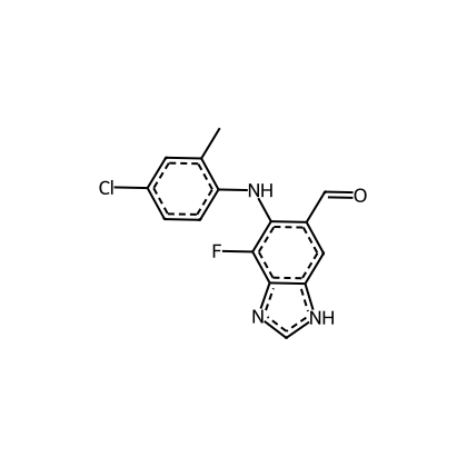 Cc1cc(Cl)ccc1Nc1c(C=O)cc2[nH]cnc2c1F